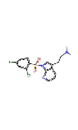 CN(C)CCc1cn(S(=O)(=O)c2ccc(F)cc2Cl)c2ncccc12